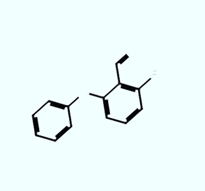 O=Cc1c(F)cccc1Oc1ccccc1